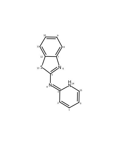 c1cc/c(=N/c2nc3ccccc3s2)[nH]c1